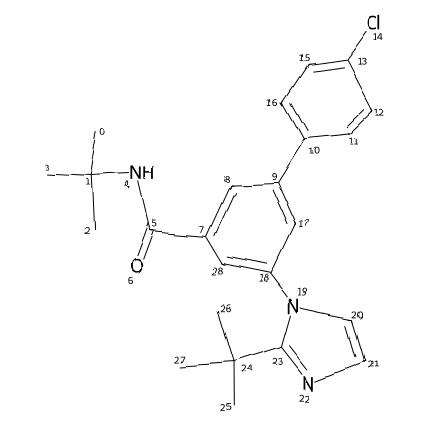 CC(C)(C)NC(=O)c1cc(-c2ccc(Cl)cc2)cc(-n2ccnc2C(C)(C)C)c1